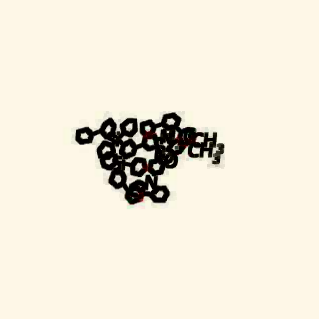 CC(C)(C)c1cc2c3c(c1)N(c1c(-c4ccccc4)cccc1-c1ccccc1)c1ccc(-c4cc([Si](c5ccccc5)(c5ccccc5)c5cccc(-c6ccccc6)c5)cc([Si](c5ccccc5)(c5ccccc5)c5cccc(-c6ccccc6)c5)c4)cc1B3c1ccc(-n3c4ccccc4c4ccccc43)cc1O2